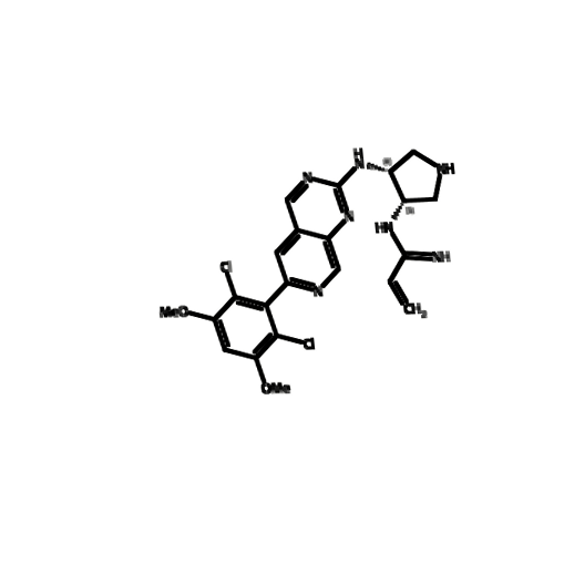 C=CC(=N)N[C@H]1CNC[C@H]1Nc1ncc2cc(-c3c(Cl)c(OC)cc(OC)c3Cl)ncc2n1